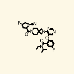 CCN(C(=O)c1cc(F)ccc1Oc1cncnc1N1CC2(CCN(C(=O)C3C[C@@H](F)CB3C#N)CC2)C1)C(C)C